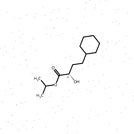 CC(C)OC(=O)[C@@H](O)CCC1CCCCC1